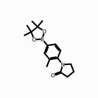 Cc1cc(B2OC(C)(C)C(C)(C)O2)ccc1N1CCCC1=O